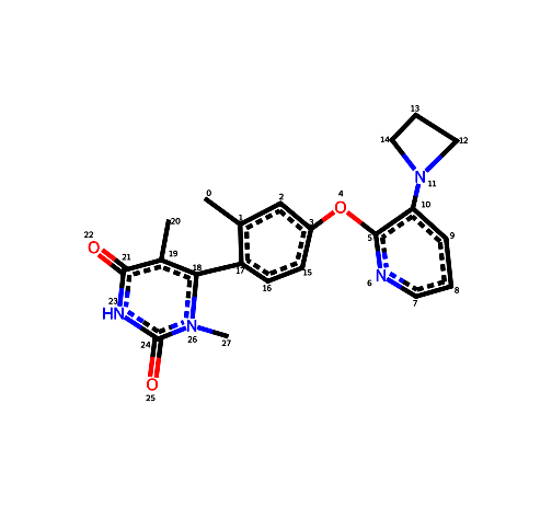 Cc1cc(Oc2ncccc2N2CCC2)ccc1-c1c(C)c(=O)[nH]c(=O)n1C